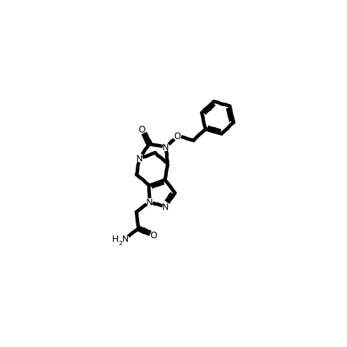 NC(=O)Cn1ncc2c1CN1CC2N(OCc2ccccc2)C1=O